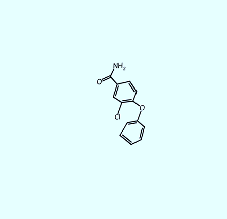 NC(=O)c1ccc(Oc2ccccc2)c(Cl)c1